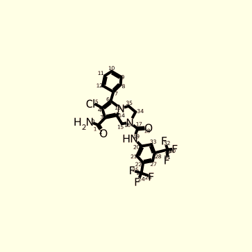 NC(=O)c1c(Cl)c(-c2ccccc2)n2c1CN(C(=O)Nc1cc(C(F)(F)F)cc(C(F)(F)F)c1)CC2